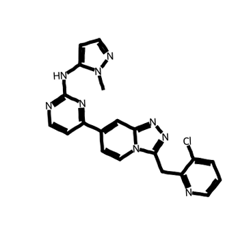 Cn1nccc1Nc1nccc(-c2ccn3c(Cc4ncccc4Cl)nnc3c2)n1